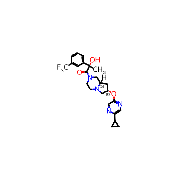 CC(O)(C(=O)N1CCN2C[C@H](Oc3cnc(C4CC4)cn3)C[C@H]2C1)c1cccc(C(F)(F)F)c1